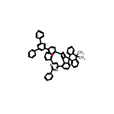 CC1(C)c2ccccc2C2(c3ccc(-c4ccc(-c5cc(-c6ccccc6)cc(-c6ccccc6)c5)cc4)cc3-c3c(-c4cc(-c5ccccc5)nc(-c5ccccc5)n4)cccc32)c2ccccc21